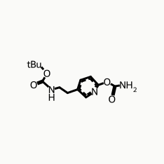 CC(C)(C)OC(=O)NCCc1ccc(OC(N)=O)nc1